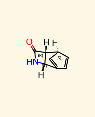 O=C1N[C@H]2C3=C[C@H](C=C3)[C@@H]12